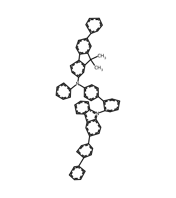 CC1(C)c2cc(-c3ccccc3)ccc2-c2ccc(N(c3ccccc3)c3ccc(-c4ccccc4-n4c5ccccc5c5cc(-c6ccc(-c7ccccc7)cc6)ccc54)cc3)cc21